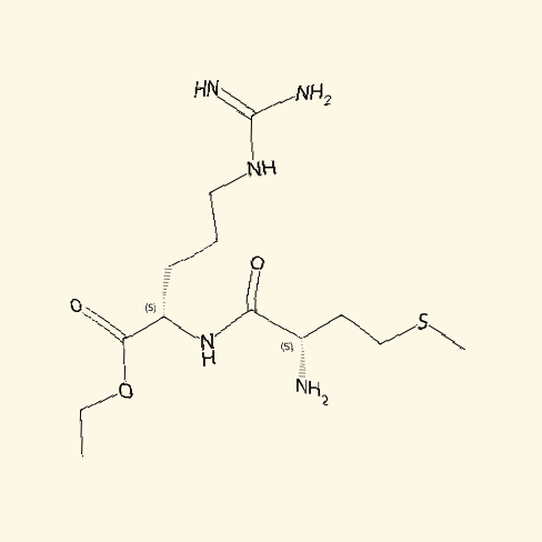 CCOC(=O)[C@H](CCCNC(=N)N)NC(=O)[C@@H](N)CCSC